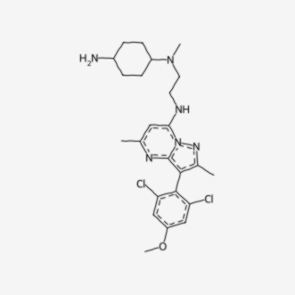 COc1cc(Cl)c(-c2c(C)nn3c(NCCN(C)C4CCC(N)CC4)cc(C)nc23)c(Cl)c1